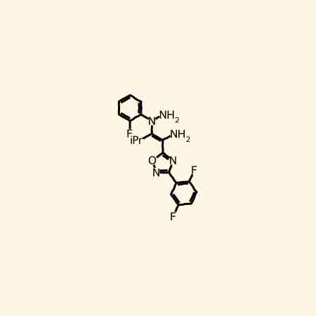 CC(C)/C(=C(/N)c1nc(-c2cc(F)ccc2F)no1)N(N)c1ccccc1F